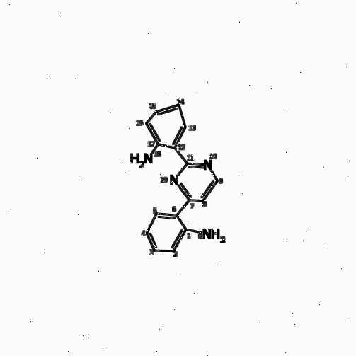 Nc1ccccc1-c1ccnc(-c2ccccc2N)n1